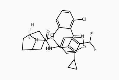 O=C(Nc1ccc(C(F)F)cc1)N1C2CC[C@H]1CC(OCc1c(-c3c(Cl)cccc3Cl)noc1C1CC1)C2